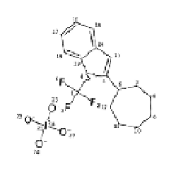 FC(F)(F)[s+]1c(C2CCCCCC2)cc2ccccc21.[O-][I+3]([O-])([O-])[O-]